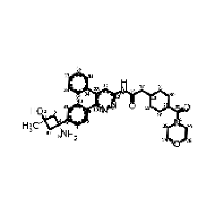 C[C@]1(O)C[C@@](N)(c2ccc(-c3nnc(NC(=O)CC4CCC(C(=O)N5CCOCC5)CC4)cc3-c3ccccc3)cc2)C1